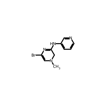 CN1C=C(Br)N=C(Nc2cccnc2)C1